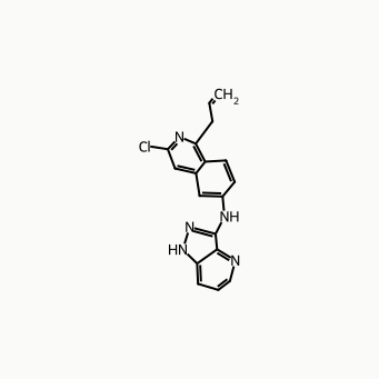 C=CCc1nc(Cl)cc2cc(Nc3n[nH]c4cccnc34)ccc12